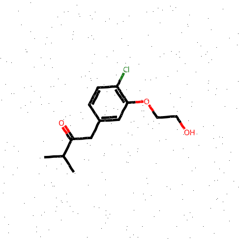 CC(C)C(=O)Cc1ccc(Cl)c(OCCO)c1